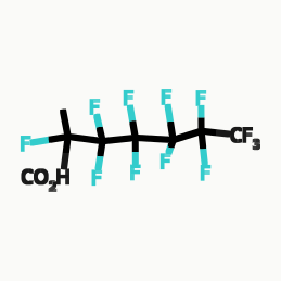 CC(F)(C(=O)O)C(F)(F)C(F)(F)C(F)(F)C(F)(F)C(F)(F)F